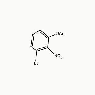 CCc1cccc(OC(C)=O)c1[N+](=O)[O-]